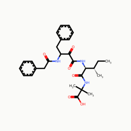 CC[C@H](C)[C@H](NC(=O)C(=O)C(Cc1ccccc1)NC(=O)Cc1ccccc1)C(=O)NC(C)(C)C(=O)O